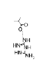 CC(C)C(=O)OCCNC(=N)NC(=N)N